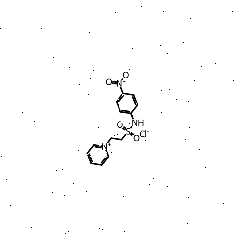 O=[N+]([O-])c1ccc(NS(=O)(=O)CC[n+]2ccccc2)cc1.[Cl-]